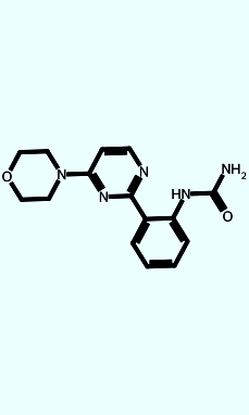 NC(=O)Nc1ccccc1-c1nccc(N2CCOCC2)n1